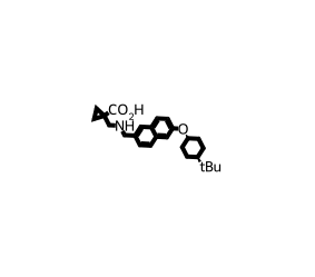 CC(C)(C)[C@H]1CC[C@H](Oc2ccc3cc(CNCC4(C(=O)O)CC4)ccc3c2)CC1